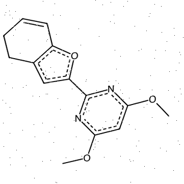 COc1cc(OC)nc(-c2cc3c(o2)C=CCC3)n1